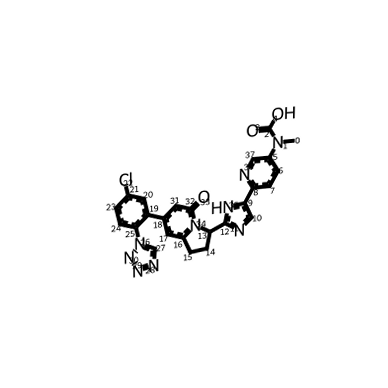 CN(C(=O)O)c1ccc(-c2cnc(C3CCc4cc(-c5cc(Cl)ccc5-n5cnnn5)cc(=O)n43)[nH]2)nc1